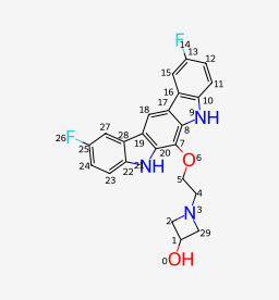 OC1CN(CCOc2c3[nH]c4ccc(F)cc4c3cc3c2[nH]c2ccc(F)cc23)C1